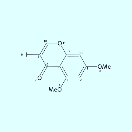 COc1cc(OC)c2c(=O)c(I)coc2c1